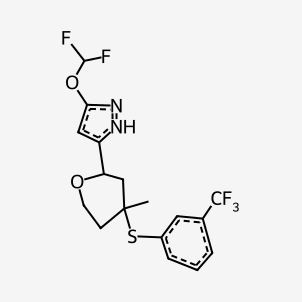 CC1(Sc2cccc(C(F)(F)F)c2)CCOC(c2cc(OC(F)F)n[nH]2)C1